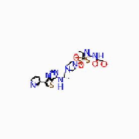 COCC(=O)Nc1nc(C)c(S(=O)(=O)N2CCN(C[C@H](C)Nc3ncnc4c(-c5cccnc5)csc34)CC2)s1